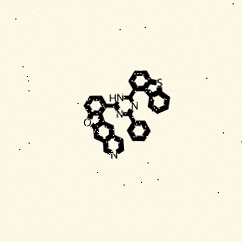 c1ccc(C2=NC(c3cccc4sc5ccccc5c34)NC(c3cccc4oc5cc6cnccc6cc5c34)=N2)cc1